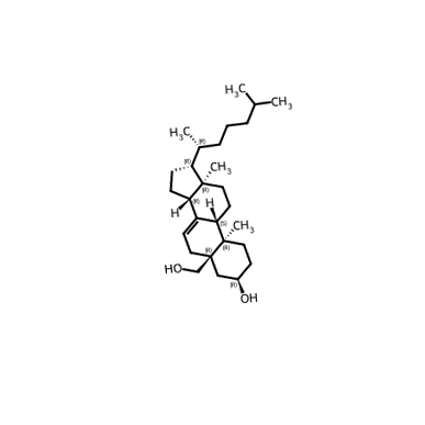 CC(C)CCC[C@@H](C)[C@H]1CC[C@H]2C3=CC[C@@]4(CO)C[C@H](O)CC[C@]4(C)[C@H]3CC[C@]12C